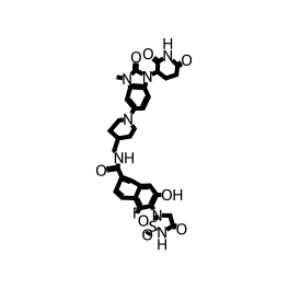 Cn1c(=O)n(C2CCC(=O)NC2=O)c2ccc(N3CCC(CNC(=O)c4ccc5c(F)c(N6CC(=O)NS6(=O)=O)c(O)cc5c4)CC3)cc21